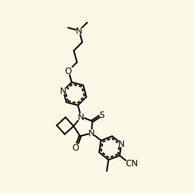 Cc1cc(N2C(=O)C3(CCC3)N(c3ccc(OCCCN(C)C)nc3)C2=S)cnc1C#N